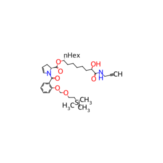 C#CCNC(=O)[C@H](O)CCCCC[C@@H](CCCCCC)OC(=O)[C@@H]1CC=CN1C(=O)c1ccccc1OCOCC[Si](C)(C)C